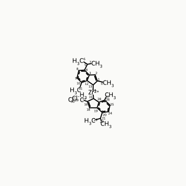 CC1=Cc2c(C(C)C)ccc(C)c2[CH]1[Zr+2][CH]1C(C)=Cc2c(C(C)C)ccc(C)c21.[Cl-].[Cl-]